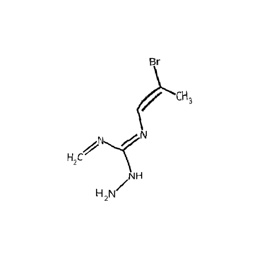 C=N/C(=N\C=C(/C)Br)NN